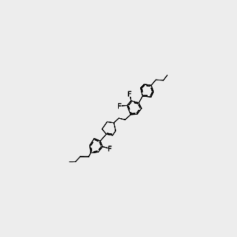 CCCCc1ccc(C2=CCC(CCc3ccc(-c4ccc(CCC)cc4)c(F)c3F)CC2)c(F)c1